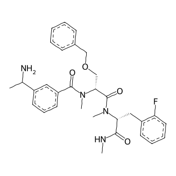 CNC(=O)[C@@H](Cc1ccccc1F)N(C)C(=O)[C@@H](COCc1ccccc1)N(C)C(=O)c1cccc(C(C)N)c1